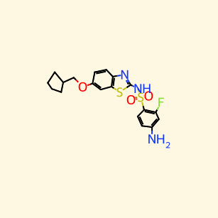 Nc1ccc(S(=O)(=O)Nc2nc3ccc(OCC4CCCC4)cc3s2)c(F)c1